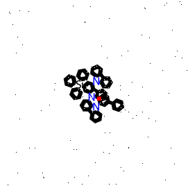 c1ccc(-c2cccc(-n3c4ccccc4c4cccc(-n5c6ccccc6c6c(-n7c8ccccc8c8ccccc87)cc([Si](c7ccccc7)(c7ccccc7)c7ccccc7)cc65)c43)c2)cc1